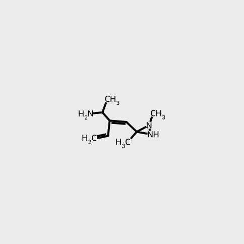 C=C/C(=C\C1(C)NN1C)C(C)N